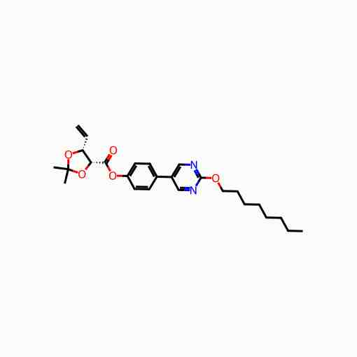 C=C[C@H]1OC(C)(C)O[C@H]1C(=O)Oc1ccc(-c2cnc(OCCCCCCCC)nc2)cc1